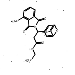 COc1c2cc(C(CC(=O)NCC(=O)O)N3C(=O)c4cccc(NC(C)=O)c4C3=O)cc1O2